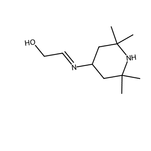 CC1(C)CC(N=CCO)CC(C)(C)N1